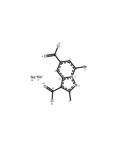 Cc1nn2c(Br)cc(C(=O)[O-])cc2c1C(=O)[O-].[Na+].[Na+]